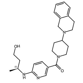 C[C@@H](CCO)Nc1ccc(C(=O)N2CCC(N3CCc4ccccc4C3)CC2)cn1